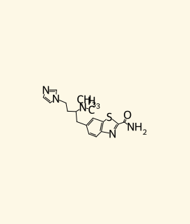 CN(C)C(CCn1ccnc1)Cc1ccc2nc(C(N)=O)sc2c1